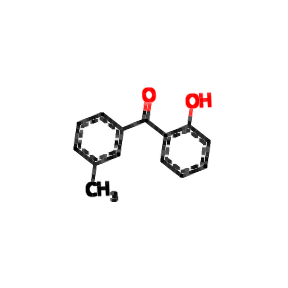 Cc1cccc(C(=O)c2ccccc2O)c1